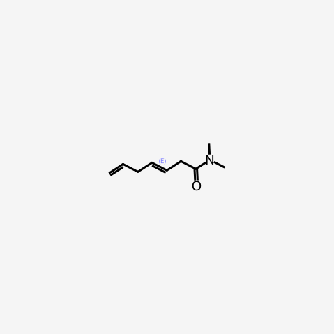 C=CC/C=C/CC(=O)N(C)C